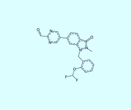 Cn1c(=O)c2ccc(-c3cnc(C=O)nc3)cc2n1Cc1ccccc1OC(F)F